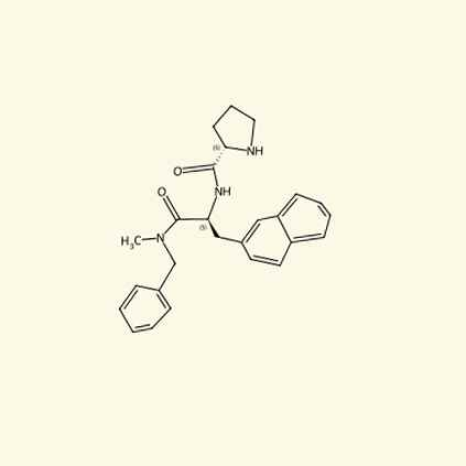 CN(Cc1ccccc1)C(=O)[C@H](Cc1ccc2ccccc2c1)NC(=O)[C@@H]1CCCN1